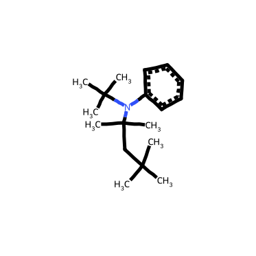 CC(C)(C)CC(C)(C)N(c1ccccc1)C(C)(C)C